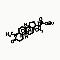 CC(C)COC(=O)NC1CC[C@H]2[C@@H]3CCC4N(C)C(=O)CC[C@]4(C)[C@@H]3CC[C@]12C